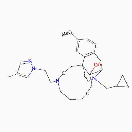 COc1ccc2c(c1)C13CCN(CCn4cc(C)cn4)CCCCCC1(O)C(C2)N(CC1CC1)CC3